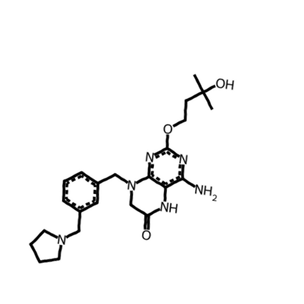 CC(C)(O)CCOc1nc(N)c2c(n1)N(Cc1cccc(CN3CCCC3)c1)CC(=O)N2